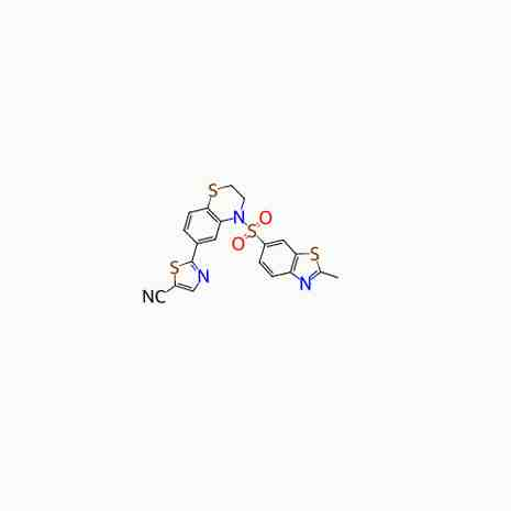 Cc1nc2ccc(S(=O)(=O)N3CCSc4ccc(-c5ncc(C#N)s5)cc43)cc2s1